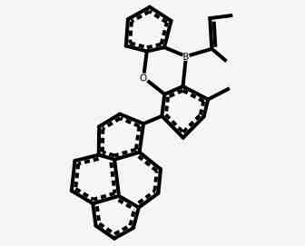 C/C=C(\C)B1c2ccccc2Oc2c(-c3ccc4ccc5cccc6ccc3c4c56)ccc(C)c21